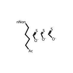 [C+3]C(=O)CCCCCCCCCCCCC.[O-]C=S.[O-]C=S.[O-]C=S